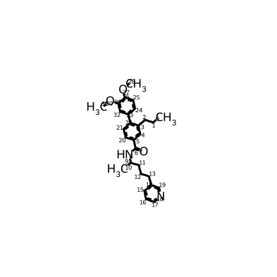 CCCc1cc(C(=O)NC(C)CCCc2cccnc2)ccc1-c1ccc(OC)c(OC)c1